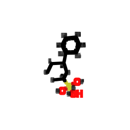 CCC(CC(C)S(=O)(=O)O)c1ccccc1